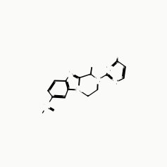 CC(C)C1c2nc3ccc(S(C)(=O)=O)cc3n2CCN1c1nccc(C(F)(F)F)n1